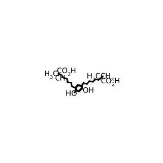 CC(C)(CCCCCCc1cc(CCCCCCC(C)(C)C(=O)O)c(O)cc1O)C(=O)O